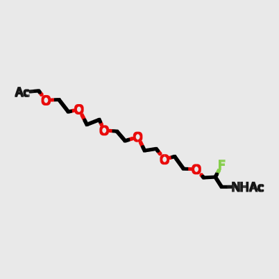 CC(=O)COCCOCCOCCOCCOCCOCC(F)CNC(C)=O